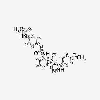 COc1ccc(-c2[nH]nc3c2C(=O)c2c(NC(=O)Cc4ccc(NC(C)=O)cc4)cccc2-3)cc1